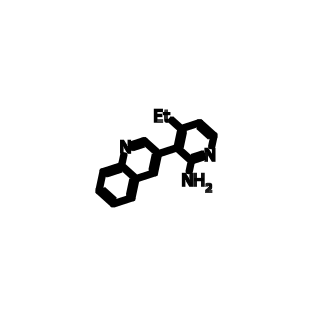 CCc1ccnc(N)c1-c1cnc2ccccc2c1